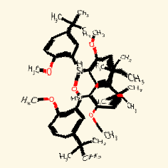 COc1ccc(C(C)(C)C)cc1[SiH](O[SiH](c1cc(C(C)(C)C)ccc1OC)c1cc(C(C)(C)C)ccc1OC)c1cc(C(C)(C)C)ccc1OC